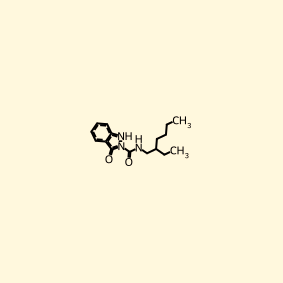 CCCCC(CC)CNC(=O)n1[nH]c2ccccc2c1=O